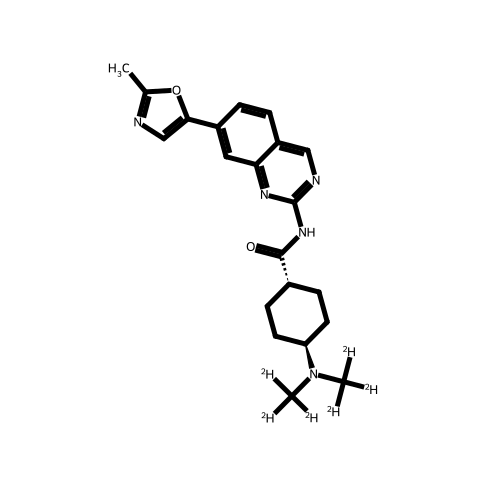 [2H]C([2H])([2H])N([C@H]1CC[C@H](C(=O)Nc2ncc3ccc(-c4cnc(C)o4)cc3n2)CC1)C([2H])([2H])[2H]